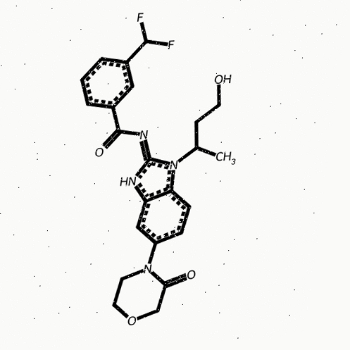 CC(CCO)n1c(=NC(=O)c2cccc(C(F)F)c2)[nH]c2cc(N3CCOCC3=O)ccc21